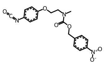 CN(CCOc1ccc(N=C=O)cc1)C(=O)OCc1ccc([N+](=O)[O-])cc1